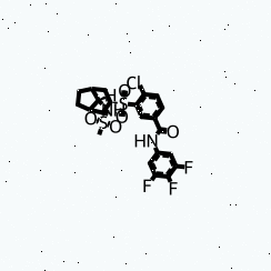 CS(=O)(=O)N[C@H]1C2CCC1C[C@@H](S(=O)(=O)c1cc(C(=O)Nc3cc(F)c(F)c(F)c3)ccc1Cl)C2